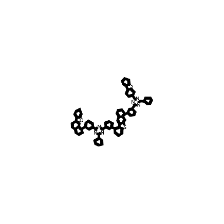 c1ccc(-c2nc(-c3cccc(-c4cccc5sc6cc7c(-c8cccc(-c9nc(-c%10ccccc%10)nc(-c%10ccc%11c(c%10)sc%10ccccc%10%11)n9)c8)cccc7cc6c45)c3)nc(-c3cccc(-c4cccc5ccc6c7ccccc7oc6c45)c3)n2)cc1